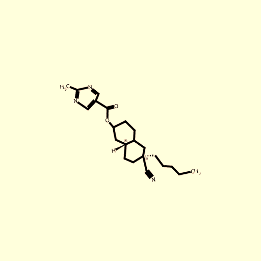 CCCCC[C@]1(C#N)CC[C@@H]2CC(OC(=O)c3cnc(C)nc3)CCC2C1